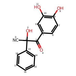 N#CC(O)(C(=O)c1ccc(O)c(O)c1)c1ccccc1